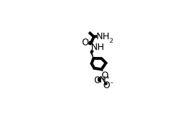 CC(N)C(=O)NC[C@H]1CC[C@H](O[N+](=O)[O-])CC1